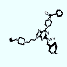 CCN1CCN(CCCn2cnc3c(N4CCN(C(=O)c5ccccc5)CC4)nc(NCc4ccc(F)cc4)nc32)CC1